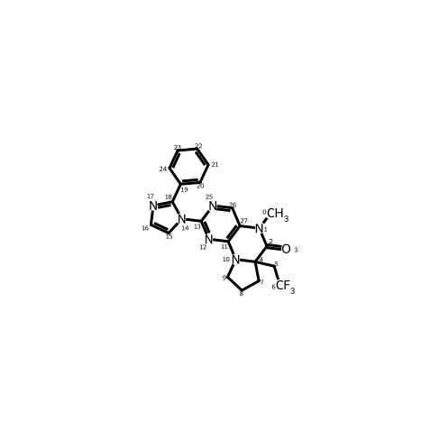 CN1C(=O)C2(CC(F)(F)F)CCCN2c2nc(-n3ccnc3-c3ccccc3)ncc21